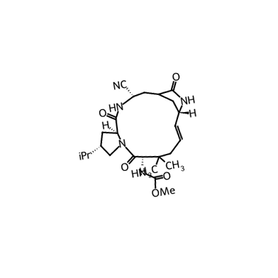 COC(=O)N[C@@H]1C(=O)N2C[C@H](C(C)C)C[C@H]2C(=O)N[C@H](C#N)CC2C[C@@H](/C=C/CC1(C)C)NC2=O